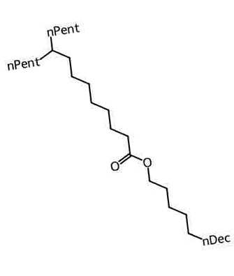 CCCCCCCCCCCCCCCOC(=O)CCCCCCCC(CCCCC)CCCCC